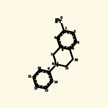 CC(C)c1ccc2c(c1)CN(c1ccccc1)CC2